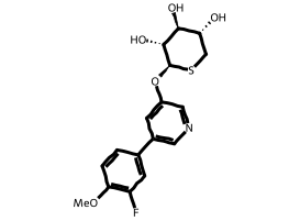 COc1ccc(-c2cncc(O[C@@H]3SC[C@@H](O)[C@H](O)[C@H]3O)c2)cc1F